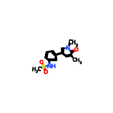 Cc1cc(-c2cccc(NS(C)(=O)=O)c2)cn(C)c1=O